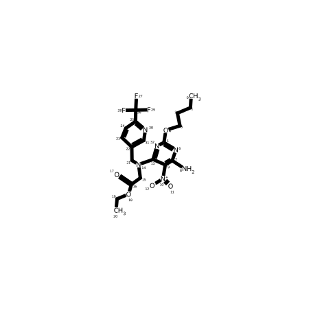 CCCCOc1nc(N)c([N+](=O)[O-])c(N(CC(=O)OCC)Cc2ccc(C(F)(F)F)nc2)n1